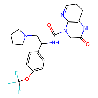 O=C1CN(C(=O)NC(CN2CCCC2)c2ccc(OC(F)(F)F)cc2)C2=C(CCC=N2)N1